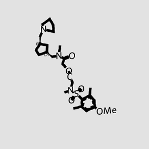 COc1cc(C)c(S(=O)(=O)N(C)CCOCC(=O)N(C)C[C@H]2CC[C@@H](CN3CCCC3)C2)c(C)c1